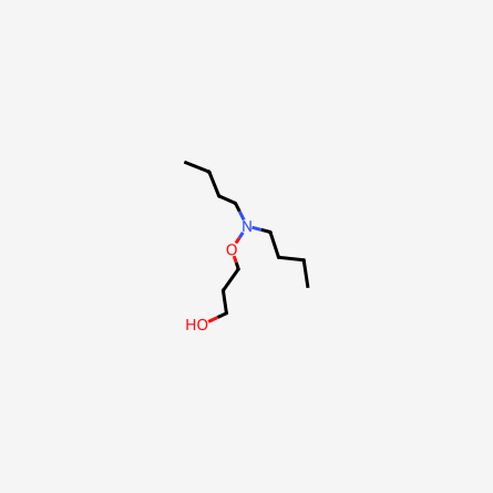 CCCCN(CCCC)OCCCO